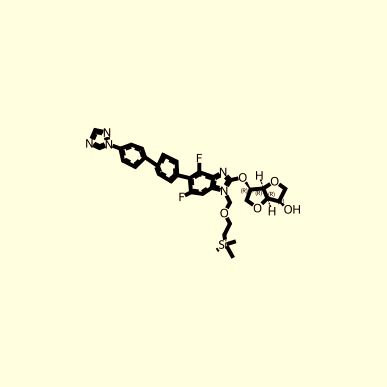 C[Si](C)(C)CCOCn1c(O[C@@H]2CO[C@H]3[C@@H]2OC[C@H]3O)nc2c(F)c(-c3ccc(-c4ccc(-n5cncn5)cc4)cc3)c(F)cc21